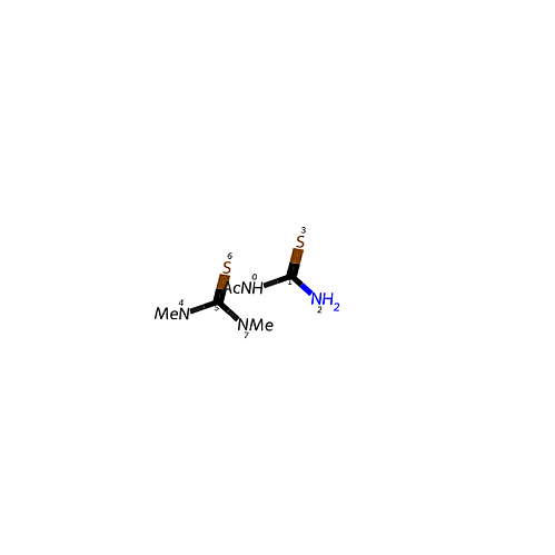 CC(=O)NC(N)=S.CNC(=S)NC